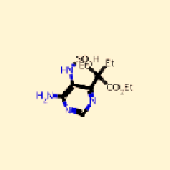 CCOC(=O)C(CC)(CC)c1ncnc(N)c1NS(=O)(=O)O